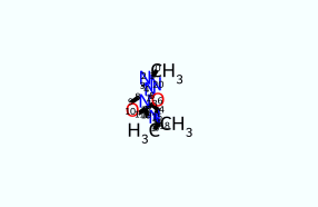 Cc1ncn(C(=O)N2CCOCC23CCN(C(C)C)C3)n1